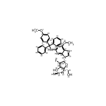 COc1ccc(C(Nc2nc(OC)c3ncn([C@@H]4O[C@@](CO)(N=[N+]=[N-])[C@@H](O)[C@H]4F)c3n2)(c2ccccc2)c2ccccc2)cc1